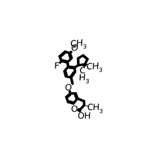 COc1ccc(F)c(-c2ccc(COc3cccc(C[C@H](C)C(=O)O)c3)cc2C2CCCC2(C)C)c1